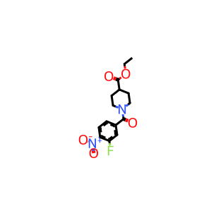 CCOC(=O)C1CCN(C(=O)c2ccc([N+](=O)[O-])c(F)c2)CC1